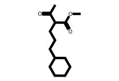 COC(=O)C(CCCC1CCCCC1)C(C)=O